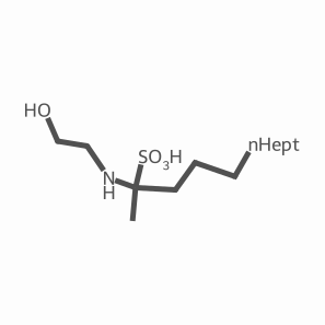 CCCCCCCCCCC(C)(NCCO)S(=O)(=O)O